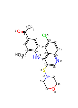 O=C(O)c1cc(C(=O)C(F)(F)F)ccc1Nc1c(SN2CCOCC2)cnc2ccc(Cl)cc12